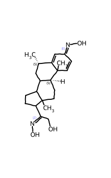 C[C@H]1CC2C3CCC(/C(CO)=N/O)C3(C)CC[C@@H]2C2(C)C=C/C(=N\O)C=C12